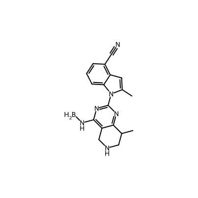 BNc1nc(-n2c(C)cc3c(C#N)cccc32)nc2c1CNCC2C